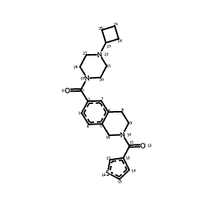 O=C(c1ccc2c(c1)CCN(C(=O)c1ccsc1)C2)N1CCN(C2CCC2)CC1